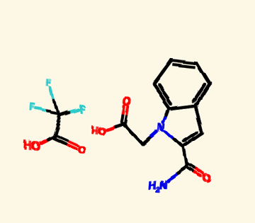 NC(=O)c1cc2ccccc2n1CC(=O)O.O=C(O)C(F)(F)F